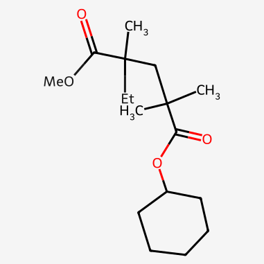 CCC(C)(CC(C)(C)C(=O)OC1CCCCC1)C(=O)OC